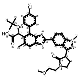 COCCN1CCC(c2nn(C)c3ccc(-c4nc5cc(C)c([C@H](OC(C)(C)C)C(=O)O)c(-c6ccc(Cl)cc6)c5s4)cc23)C1=O